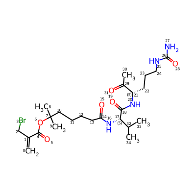 C=C(CBr)C(=O)OC(C)(C)CCCCC(=O)N[C@H](C(=O)N[C@@H](CCCNC(N)=O)C(C)=O)C(C)C